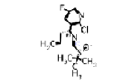 C=CC[C@@H](/N=C/[S+]([O-])C(C)(C)C)c1cc(F)cnc1Cl